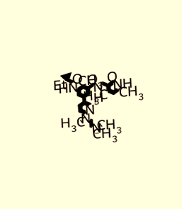 CCC1(C(=O)Nc2cc(-c3ccc(N(C)CCN(C)C)nc3)cc(C(=O)NCc3c(C)cc(C)[nH]c3=O)c2C)CC1